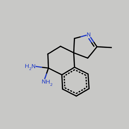 CC1=NCC2(CCC(N)(N)c3ccccc32)C1